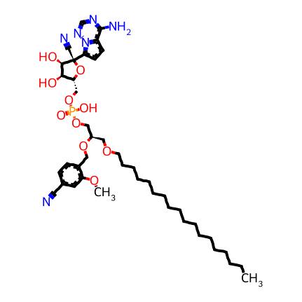 CCCCCCCCCCCCCCCCCCOC[C@H](COP(=O)(O)OC[C@H]1O[C@@](C#N)(c2ccc3c(N)ncnn23)[C@H](O)[C@@H]1O)OCc1ccc(C#N)cc1OC